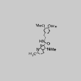 CNc1c(C(=O)NCCc2ccc(OC)c(OC)c2)sc2nc(C)ccc12